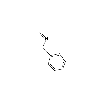 [CH]=NCc1ccccc1